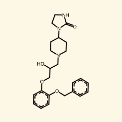 O=C1NCCN1C1CCN(CC(O)COc2ccccc2OCc2ccccc2)CC1